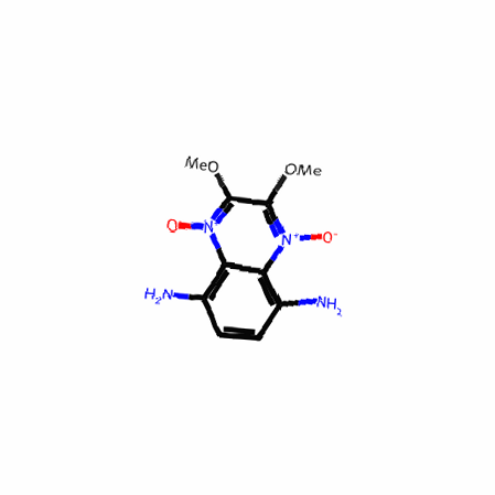 COc1c(OC)[n+]([O-])c2c(N)ccc(N)c2[n+]1[O-]